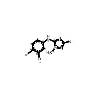 Cn1nc(Br)nc1Nc1ccc(I)c(Cl)c1